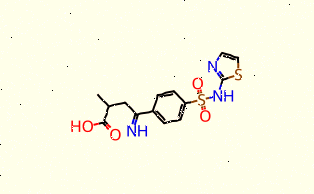 CC(CC(=N)c1ccc(S(=O)(=O)Nc2nccs2)cc1)C(=O)O